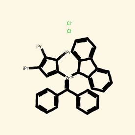 CC(C)C1=C(C(C)C)C(C(C)C)[C]([Zr+2](=[C](c2ccccc2)c2ccccc2)[CH]2c3ccccc3-c3ccccc32)=C1.[Cl-].[Cl-]